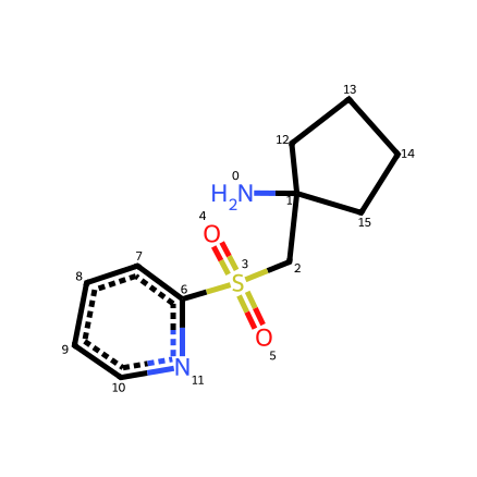 NC1(CS(=O)(=O)c2ccccn2)CCCC1